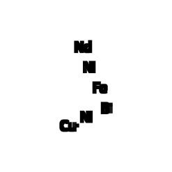 [B].[Cu].[Fe].[Nd].[Ni].[Ni]